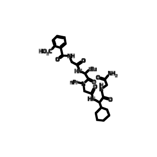 CCCN(CC(=O)NC(C(=O)NCC(N)=O)C1CCCCC1)C(=O)C(NC(=O)CNC(=O)c1ccccc1C(=O)O)C(C)(C)C